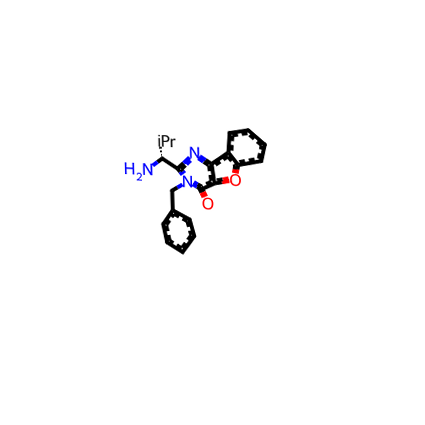 CC(C)[C@@H](N)c1nc2c(oc3ccccc32)c(=O)n1Cc1ccccc1